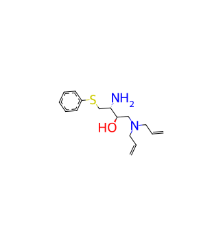 C=CCN(CC=C)C[C@@H](O)[C@@H](N)CSc1ccccc1